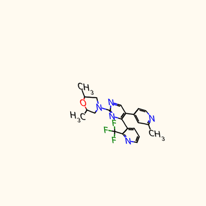 Cc1cc(-c2cnc(N3CC(C)OC(C)C3)nc2-c2cccnc2C(F)(F)F)ccn1